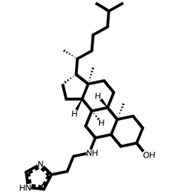 CC(C)CCC[C@@H](C)[C@H]1CC[C@H]2[C@@H]3CC(NCCc4c[nH]cn4)C4CC(O)CC[C@]4(C)[C@H]3CC[C@]12C